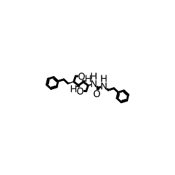 O=C(NCCc1ccccc1)N[C@H]1CO[C@@H]2[C@@H](CCc3ccccc3)CO[C@@H]21